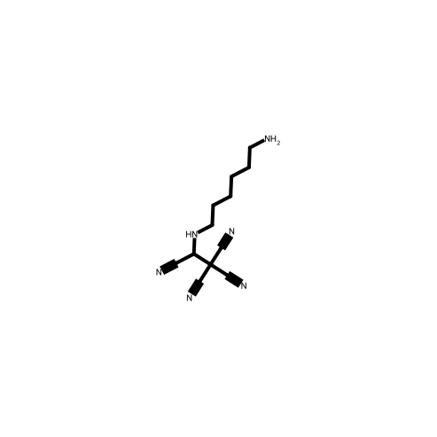 N#CC(NCCCCCCN)C(C#N)(C#N)C#N